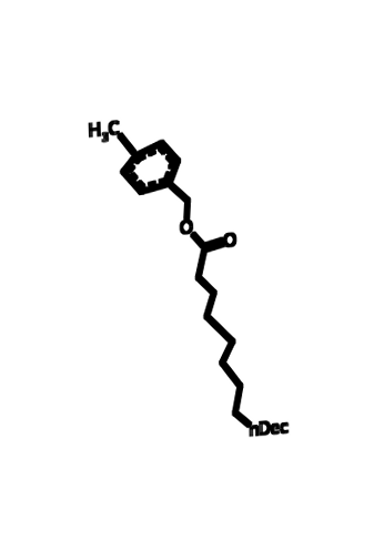 CCCCCCCCCCCCCCCCCC(=O)OCc1ccc(C)cc1